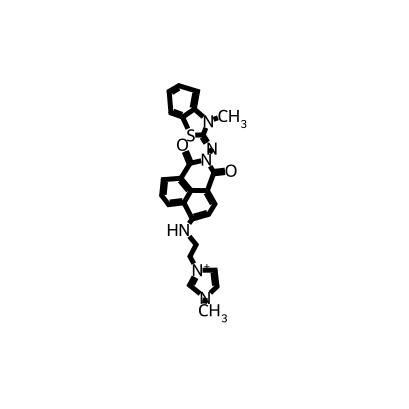 Cn1cc[n+](CCNc2ccc3c4c(cccc24)C(=O)N(/N=c2\sc4ccccc4n2C)C3=O)c1